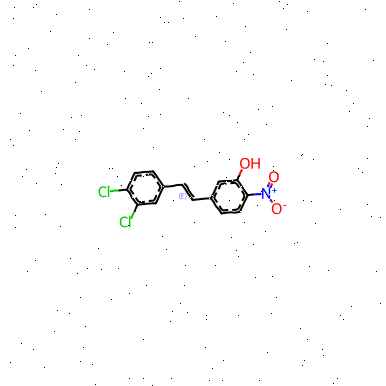 O=[N+]([O-])c1ccc(/C=C/c2ccc(Cl)c(Cl)c2)cc1O